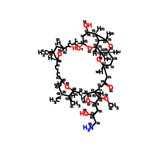 C=C1C[C@@H]2CC[C@@]3(O)C[C@@H](O)[C@@H]4C5[C@@H](O3)[C@H]3O[C@H](CC[C@@H]3O[C@H]54)CC(=O)C[C@@H]3[C@@H](OC)[C@@H](C[C@H](O)CN)O[C@H]3C[C@H]3O[C@@H](CC[C@@H]1O2)C[C@@H](C)C3=C